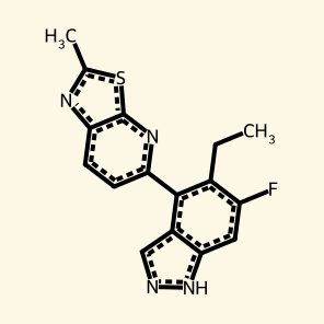 CCc1c(F)cc2[nH]ncc2c1-c1ccc2nc(C)sc2n1